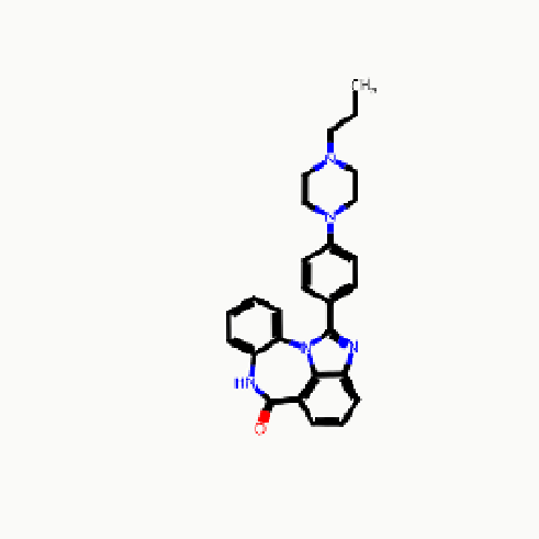 CCCN1CCN(c2ccc(-c3nc4cccc5c4n3-c3ccccc3NC5=O)cc2)CC1